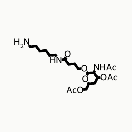 CC(=O)NC1C(OC(C)=O)CC(COC(C)=O)OC1OCCCC(=O)NCCCCCCN